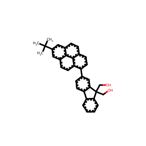 CC(C)(C)c1cc2ccc3ccc(-c4ccc5c(c4)C(CO)(CO)c4ccccc4-5)c4ccc(c1)c2c34